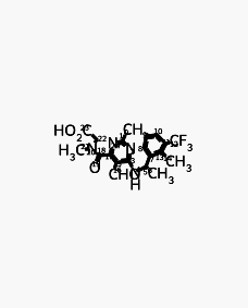 Cc1nc(NC(C)c2cccc(C(F)(F)F)c2C)c(C=O)c(C(=O)N(C)CC(=O)O)n1